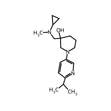 CC(C)c1ccc(N2CCCC(O)(CN(C)C3CC3)C2)cn1